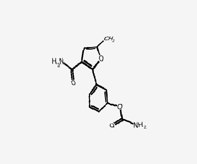 Cc1cc(C(N)=O)c(-c2cccc(OC(N)=O)c2)o1